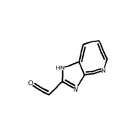 O=Cc1nc2ncccc2[nH]1